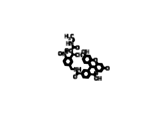 CCNC(=O)OC(C)c1cc(CNC(=O)c2ccc(C(=O)O)c(-c3c4ccc(=O)cc-4oc4cc(O)ccc34)c2)ccc1[N+](=O)[O-]